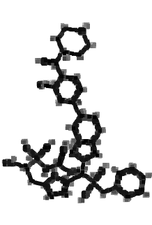 CC(C)(C)N(Cc1nnc(C(c2nc3ccc(-c4ccc(C(=O)N5CCOCC5)c(Cl)c4)cc3s2)S(=O)(=O)Cc2ccccc2)o1)S(=O)(=O)OC(N)=O